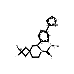 CC(C)(C)OC(=O)N1CCC2(CC1c1ccc(-c3ccn[nH]3)cc1)CC(F)(F)C2